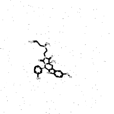 C=CCN(C)CCN1C(=O)N2[C@H](c3cccc(O)c3)c3[nH]c4ccc(OCC)cc4c3C[C@@]2(C)C1=O